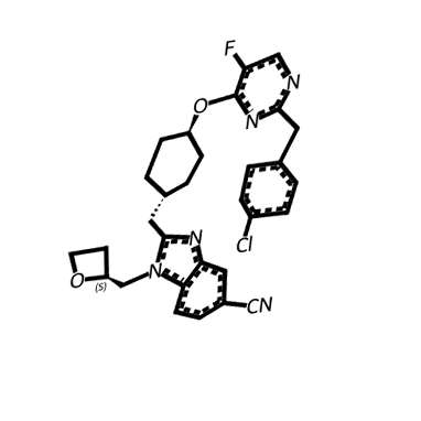 N#Cc1ccc2c(c1)nc(C[C@H]1CC[C@H](Oc3nc(Cc4ccc(Cl)cc4)ncc3F)CC1)n2C[C@@H]1CCO1